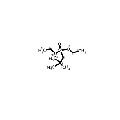 CCOP(=O)([CH]C(C)(C)C)OCC